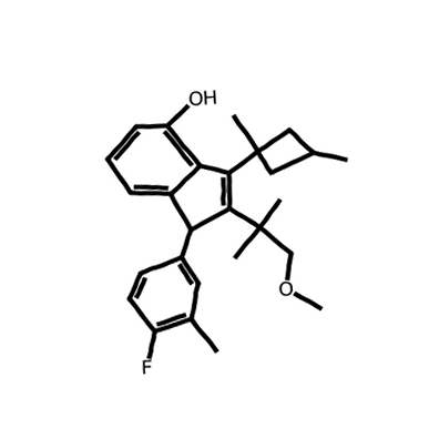 COCC(C)(C)C1=C(C2(C)CC(C)C2)c2c(O)cccc2C1c1ccc(F)c(C)c1